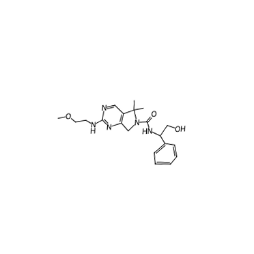 COCCNc1ncc2c(n1)CN(C(=O)NC(CO)c1ccccc1)C2(C)C